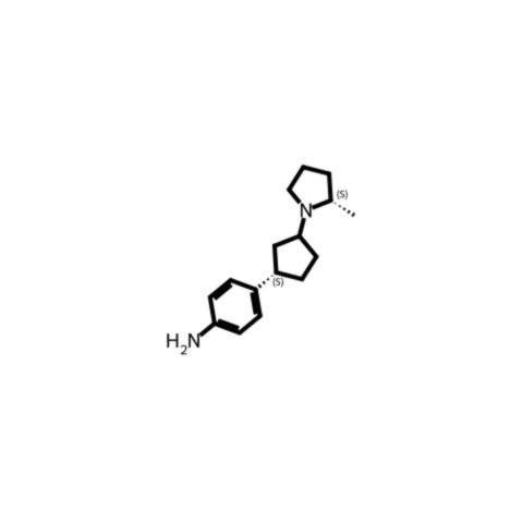 C[C@H]1CCCN1C1CC[C@H](c2ccc(N)cc2)C1